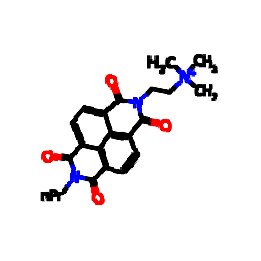 CCCN1C(=O)c2ccc3c4c(ccc(c24)C1=O)C(=O)N(CC[N+](C)(C)C)C3=O